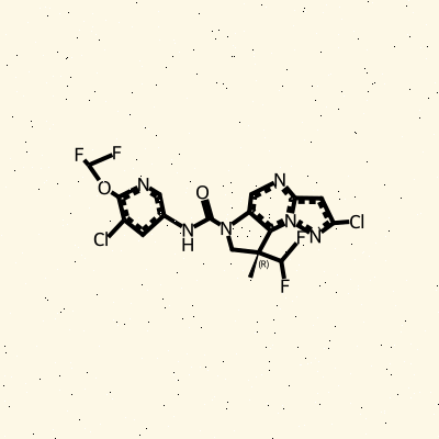 C[C@@]1(C(F)F)CN(C(=O)Nc2cnc(OC(F)F)c(Cl)c2)c2cnc3cc(Cl)nn3c21